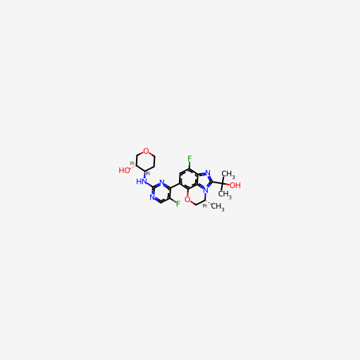 C[C@@H]1COc2c(-c3nc(N[C@@H]4CCOC[C@H]4O)ncc3F)cc(F)c3nc(C(C)(C)O)n1c23